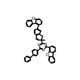 CC1(c2nc(-c3ccc(-c4ccccc4)cc3)nc(-c3cccc4c3oc3ccccc34)n2)C=Cc2ccc(-c3cccc4oc5ccccc5c34)cc2C1